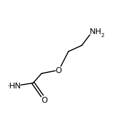 [NH]C(=O)COCCN